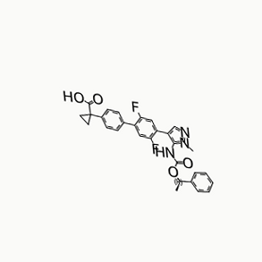 C[C@@H](OC(=O)Nc1c(-c2cc(F)c(-c3ccc(C4(C(=O)O)CC4)cc3)cc2F)cnn1C)c1ccccc1